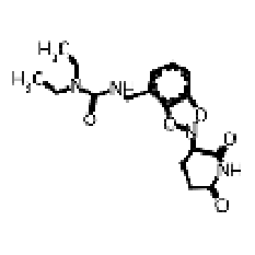 CCN(CC)C(=O)NCc1cccc2c1ON(C1CCC(=O)NC1=O)O2